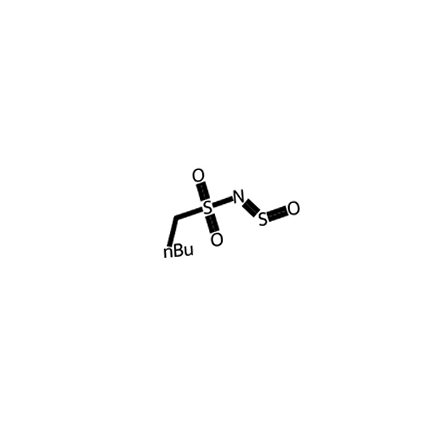 CCCCCS(=O)(=O)N=S=O